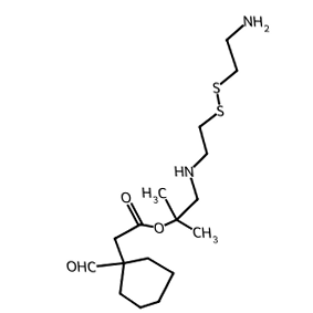 CC(C)(CNCCSSCCN)OC(=O)CC1(C=O)CCCCC1